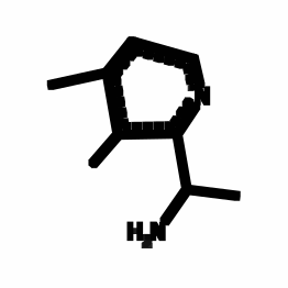 Cc1ccnc(C(C)N)c1C